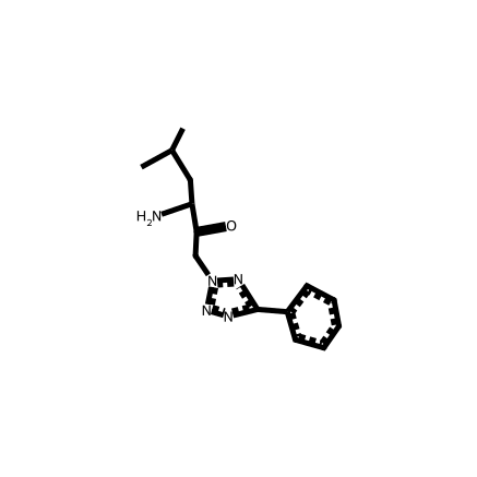 CC(C)CC(N)C(=O)Cn1nnc(-c2ccccc2)n1